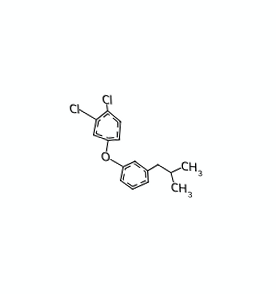 CC(C)Cc1cccc(Oc2ccc(Cl)c(Cl)c2)c1